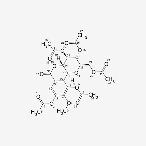 COc1c(OC(C)=O)cc2c(c1OC(C)=O)[C@@H]1O[C@H](COC(C)=O)[C@@H](OC(C)=O)[C@H](OC(C)=O)[C@H]1OC2=O